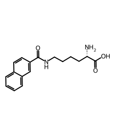 N[C@@H](CCCCNC(=O)c1ccc2ccccc2c1)C(=O)O